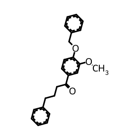 COc1cc(C(=O)CCCc2ccccc2)ccc1OCc1ccccc1